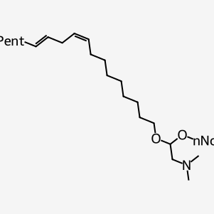 CCCCCC=CC/C=C\CCCCCCCCOC(CN(C)C)OCCCCCCCCC